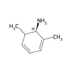 CC1=CC=CC(C)[C@H]1N